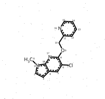 Cn1ccc2cc(Cl)c(OCc3ccccn3)nc21